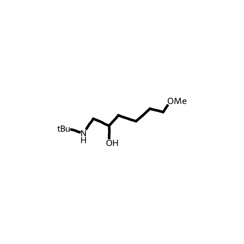 COCCCCC(O)CNC(C)(C)C